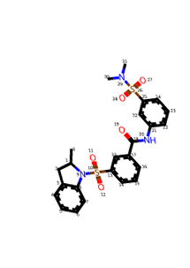 CC1Cc2ccccc2N1S(=O)(=O)c1cccc(C(=O)Nc2cccc(S(=O)(=O)N(C)C)c2)c1